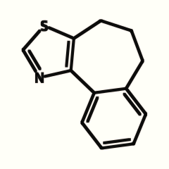 c1ccc2c(c1)CCCc1scnc1-2